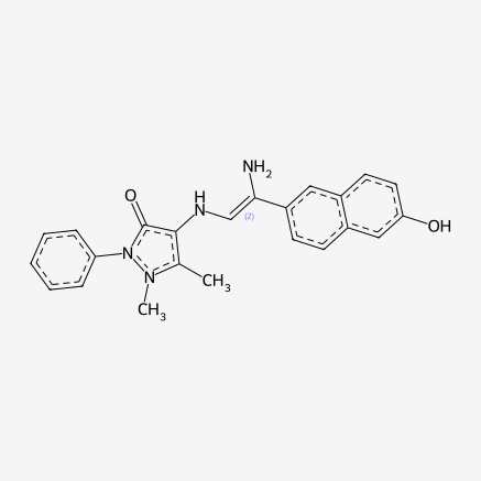 Cc1c(N/C=C(\N)c2ccc3cc(O)ccc3c2)c(=O)n(-c2ccccc2)n1C